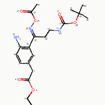 CCOC(=O)Cc1ccc(N)c(C(CCNC(=O)OC(C)(C)C)=NOC(C)=O)c1